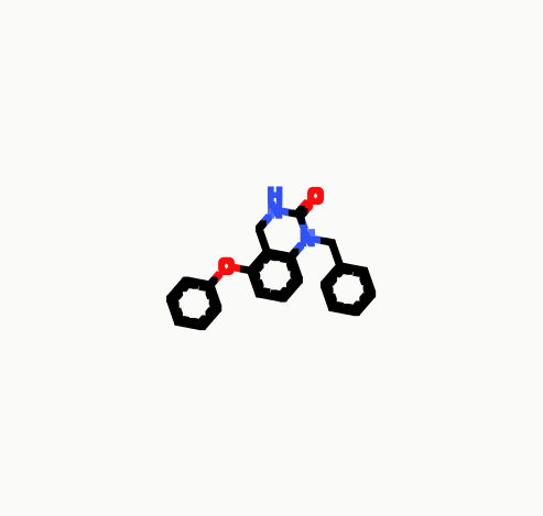 O=C1NCc2c(Oc3ccccc3)cccc2N1Cc1ccccc1